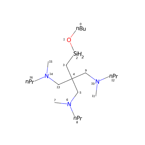 CCCCO[SiH2]CC(CN(C)CCC)(CN(C)CCC)CN(C)CCC